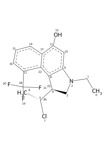 CCN1C[C@@H]([C@@H](C)Cl)c2c1cc(O)c1cccc(C(F)(F)F)c21